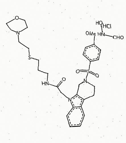 COc1ccc(S(=O)(=O)N2CCc3c(n(CC(=O)NCCCSCCN4CCOCC4)c4ccccc34)C2)cc1.Cl.O=CNO